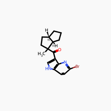 CC1(C(=O)c2c[nH]c3ccc(Br)nc23)CC[C@@H]2CCC[C@@H]21